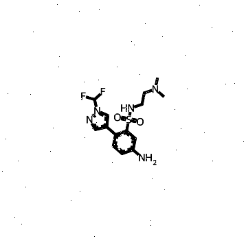 CN(C)CCNS(=O)(=O)c1cc(N)ccc1-c1cnn(C(F)F)c1